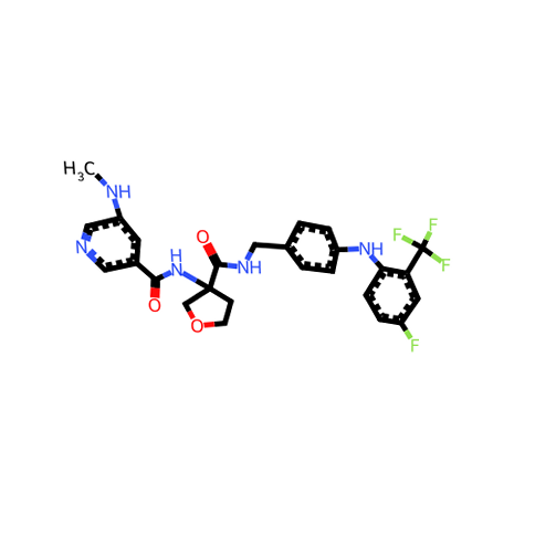 CNc1cncc(C(=O)NC2(C(=O)NCc3ccc(Nc4ccc(F)cc4C(F)(F)F)cc3)CCOC2)c1